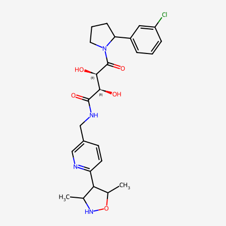 CC1NOC(C)C1c1ccc(CNC(=O)[C@H](O)[C@@H](O)C(=O)N2CCCC2c2cccc(Cl)c2)cn1